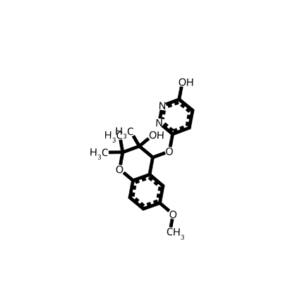 COc1ccc2c(c1)C(Oc1ccc(O)nn1)C(C)(O)C(C)(C)O2